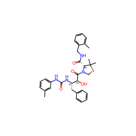 Cc1cccc(NC(=O)N[C@@H](Cc2ccccc2)[C@H](O)C(=O)N2CSC(C)(C)[C@H]2C(=O)NCc2ccccc2C)c1